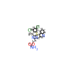 CC(C)c1nc(CCOC(N)=O)n(Cc2cnc3ccccc3c2)c1Sc1cc(Cl)cc(Cl)c1